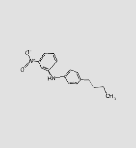 CCCCc1ccc(Nc2cccc([N+](=O)[O-])c2)cc1